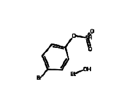 CCO.O=[SH](=O)Oc1ccc(Br)cc1